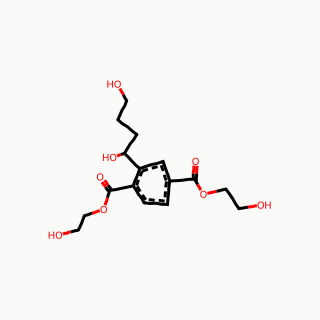 O=C(OCCO)c1ccc(C(=O)OCCO)c(C(O)CCCO)c1